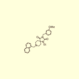 CCN1C(=O)N(Cc2cccc(OC)c2)C(=O)C12CCN(Cc1cccc3ccccc13)CC2